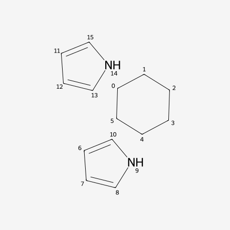 C1CCCCC1.c1cc[nH]c1.c1cc[nH]c1